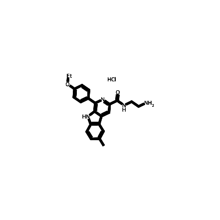 CCOc1ccc(-c2nc(C(=O)NCCN)cc3c2[nH]c2ccc(C)cc23)cc1.Cl